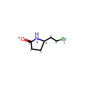 O=C1CCC(CCBr)N1